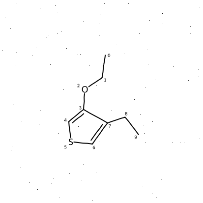 CCOc1cscc1CC